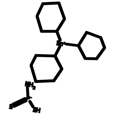 C1CC[CH]([Sn+]([CH]2CCCCC2)[CH]2CCCCC2)CC1.N[P-](=S)S